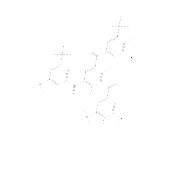 Cc1c(C(=O)c2cc(C(C)(C)C)c(O)c(C(C)(C)C)c2)c(C)c(C(=O)c2cc(C(C)(C)C)c(O)c(C(C)(C)C)c2)c(C)c1C(=O)c1cc(C(C)(C)C)c(O)c(C(C)(C)C)c1